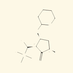 C=C1[C@H](O)C[C@H](OC2CCCCO2)[C@@H]1C(O)[Si](C)(C)C(C)(C)C